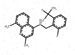 Cc1cc(NCc2c(F)cccc2C(C)(C)F)c2cccc(C)c2n1